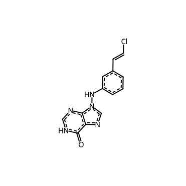 O=c1[nH]cnc2c1ncn2Nc1cccc(C=CCl)c1